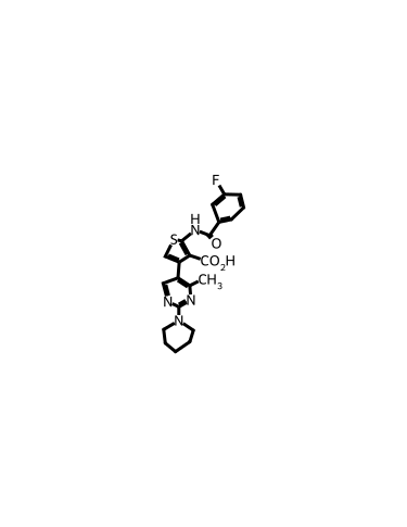 Cc1nc(N2CCCCC2)ncc1-c1csc(NC(=O)c2cccc(F)c2)c1C(=O)O